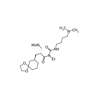 CCN(C(=O)NCCCCN(C)C)C(=O)[C@@H](CNC)C[C@H]1CCCC2(C1)OCCO2